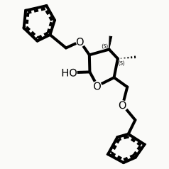 C[C@@H]1C(COCc2ccccc2)OC(O)C(OCc2ccccc2)[C@H]1C